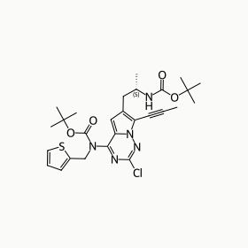 CC#Cc1c(C[C@H](C)NC(=O)OC(C)(C)C)cc2c(N(Cc3cccs3)C(=O)OC(C)(C)C)nc(Cl)nn12